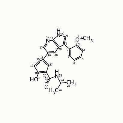 COc1ccccc1-c1c[nH]c2ncc(-c3ccc(O)c(C(=O)NC(C)C)c3)cc12